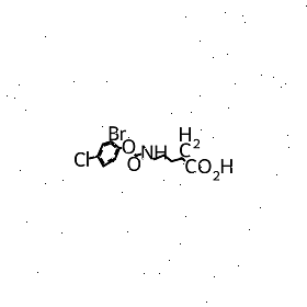 C=C(CCCNC(=O)Oc1ccc(Cl)cc1Br)C(=O)O